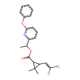 CC(OC(=O)C1C(C=C(Cl)C(F)(F)F)C1(C)C)c1cccc(Oc2ccccc2)n1